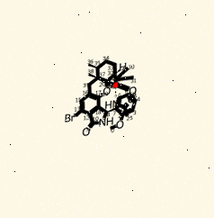 COc1ccccc1[C@H]1NC(=O)c2c(Br)cc3c(c21)O[C@@]12C[C@@H](NC(C)=O)C(=O)C(C)(C)[C@@H]1CC[C@H](C)[C@@]2(C)C3